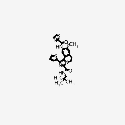 COc1cc2c(cc1NC(=O)c1nccs1)-c1c(-c3cccs3)nc(C(=O)NCC(C)(C)C)n1CC2